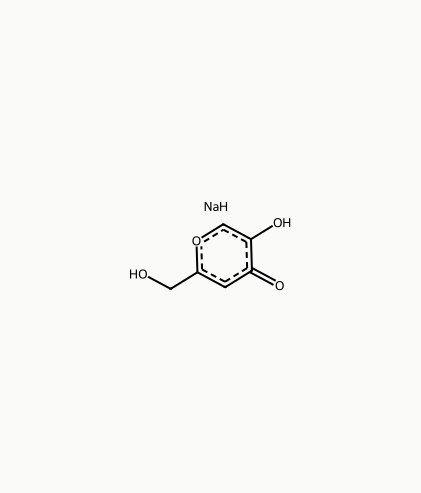 O=c1cc(CO)occ1O.[NaH]